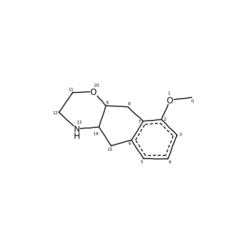 COc1cccc2c1CC1OCCNC1C2